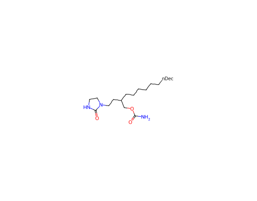 CCCCCCCCCCCCCCCCC(CCN1CCNC1=O)COC(N)=O